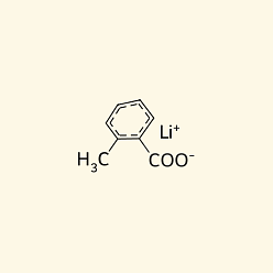 Cc1ccccc1C(=O)[O-].[Li+]